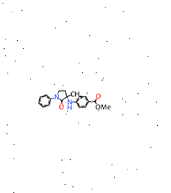 COC(=O)c1ccc(NC2(C)CCN(c3ccccc3)C2=O)cc1